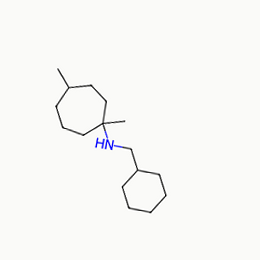 CC1CCCC(C)(NCC2CCCCC2)CC1